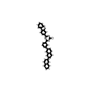 Clc1nc(-c2cccc(-c3ccc4ccc(-c5ccc6ccccc6c5)cc4c3)c2)nc(-c2ccc3c(c2)sc2ccccc23)n1